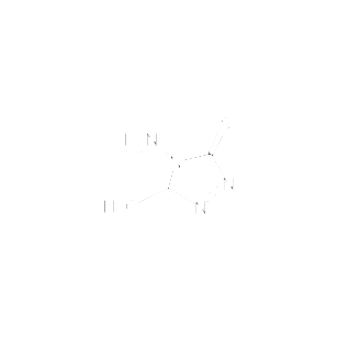 CC1N=NC(=S)N1N